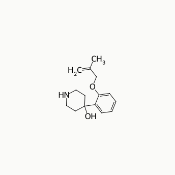 C=C(C)COc1ccccc1C1(O)CCNCC1